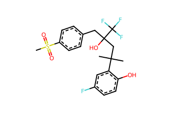 CC(C)(CC(O)(Cc1ccc(S(C)(=O)=O)cc1)C(F)(F)F)c1cc(F)ccc1O